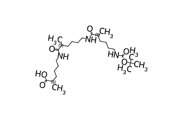 C[C@@H](CCCCNC(=O)[C@@H](C)CCCCNC(=O)[C@@H](C)CCCCNC(=O)OC(C)(C)C)C(=O)O